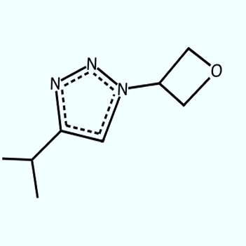 CC(C)c1cn(C2COC2)nn1